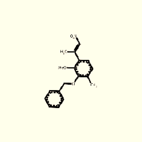 COc1c(/C(C)=C/[N+](=O)[O-])ccc(C)c1OCc1ccccc1